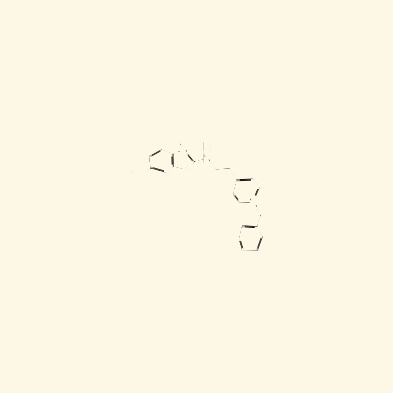 COc1ccc2nc(NCCc3cc[n+](Cc4ccccc4)cc3)sc2c1